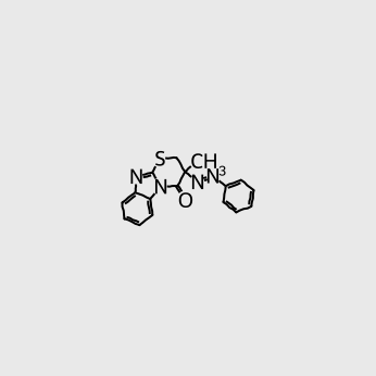 CC1(N=Nc2ccccc2)CSc2nc3ccccc3n2C1=O